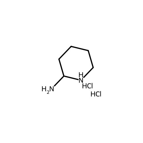 Cl.Cl.NC1CCCCN1